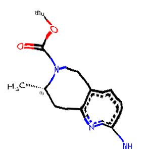 C[C@H]1Cc2nc(N)ccc2CN1C(=O)OC(C)(C)C